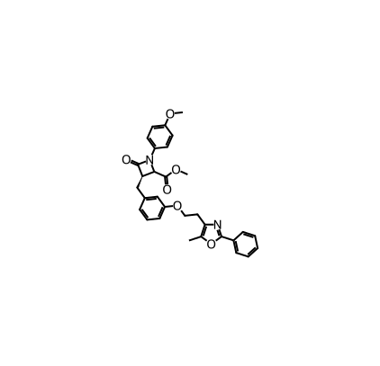 COC(=O)C1[C@@H](Cc2cccc(OCCc3nc(-c4ccccc4)oc3C)c2)C(=O)N1c1ccc(OC)cc1